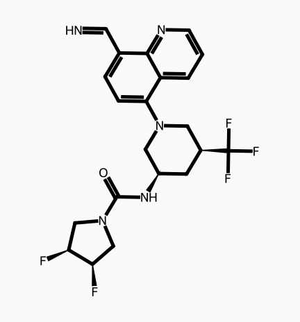 N=Cc1ccc(N2C[C@H](NC(=O)N3C[C@@H](F)[C@@H](F)C3)C[C@H](C(F)(F)F)C2)c2cccnc12